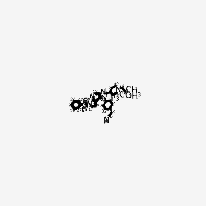 CC(C)(O)CN1CCC(c2nc3cnc4c(ccn4S(=O)(=O)c4ccccc4)c3n2[C@H]2CC[C@H](CC#N)CC2)CC1